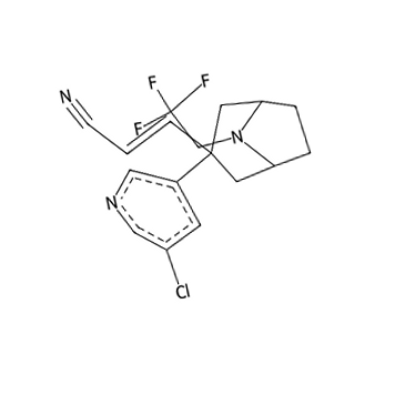 N#CC=CC1(c2cncc(Cl)c2)CC2CCC(C1)N2CC(F)(F)F